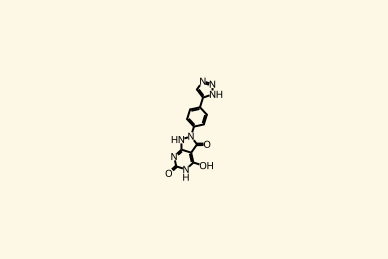 O=c1nc2[nH]n(-c3ccc(-c4cnn[nH]4)cc3)c(=O)c2c(O)[nH]1